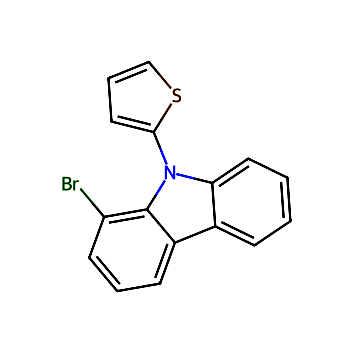 Brc1cccc2c3ccccc3n(-c3cccs3)c12